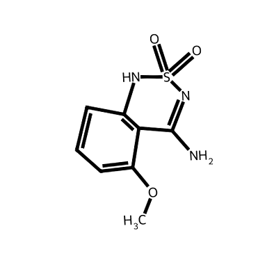 COc1cccc2c1C(N)=NS(=O)(=O)N2